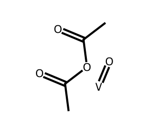 CC(=O)OC(C)=O.[O]=[V]